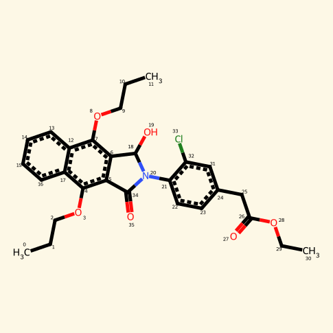 CCCOc1c2c(c(OCCC)c3ccccc13)C(O)N(c1ccc(CC(=O)OCC)cc1Cl)C2=O